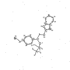 CC(C)(C)[Si](C)(C)OC(COc1nc2ccccc2o1)c1ccc(CBr)cc1